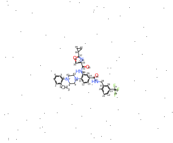 Cc1ccccc1N1CCN(c2ccc(C(=O)NCc3cccc(C(F)(F)F)c3)cc2NC(=O)c2coc(C3CC3)n2)CC1